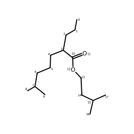 CCCC(CCCC(C)C)C(=O)OCCC(C)C